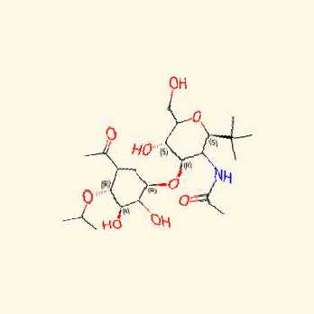 CC(=O)NC1[C@@H](O[C@@H]2CC(C(C)=O)[C@@H](OC(C)C)[C@H](O)C2O)[C@H](O)C(CO)O[C@H]1C(C)(C)C